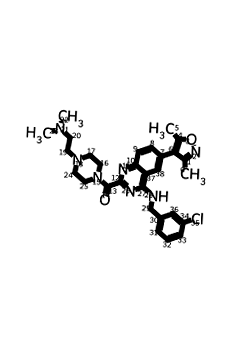 Cc1noc(C)c1-c1ccc2nc(C(=O)N3CCN(CCN(C)C)CC3)nc(NCc3cccc(Cl)c3)c2c1